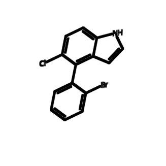 Clc1ccc2[nH]ccc2c1-c1ccccc1Br